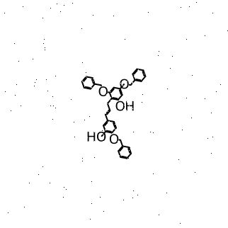 Oc1cc(C=CCc2c(O)cc(OCc3ccccc3)cc2OCc2ccccc2)ccc1OCc1ccccc1